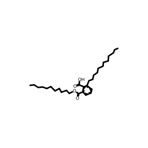 CCCCCCCCCCCCc1cccc(C(=O)OCCCCCCCCCCC)c1C(=O)O